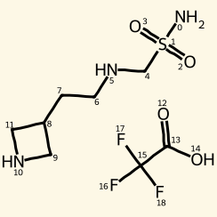 NS(=O)(=O)CNCCC1CNC1.O=C(O)C(F)(F)F